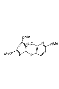 CNc1ccc(Oc2nc(OC)cc(OC)n2)c(C(=O)O)n1